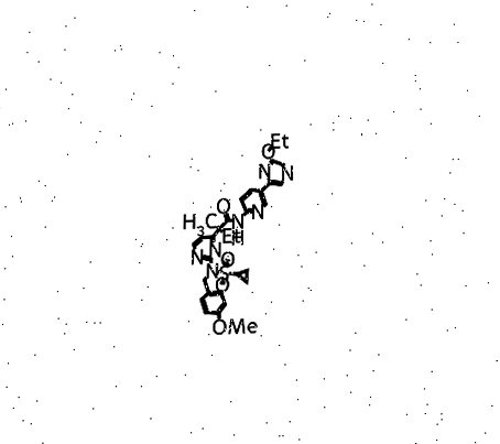 CCOc1cncc(-c2ccc(NC(=O)C(C)(CC)c3ccnc(N(Cc4ccc(OC)cc4)S(=O)(=O)C4CC4)n3)nc2)n1